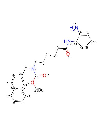 CC(C)(C)OC(=O)N(CCCCCC(=O)Nc1ccccc1N)Cc1ccc2ccccc2c1